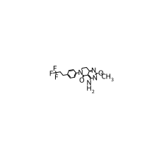 COc1nc(N)c2c(n1)CCN(c1ccc(CCC(F)(F)F)cc1)C2=O